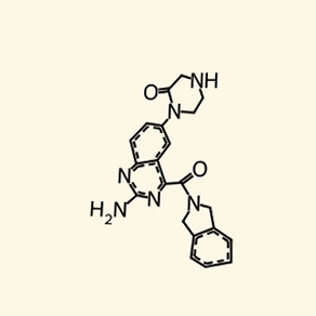 Nc1nc(C(=O)N2Cc3ccccc3C2)c2cc(N3CCNCC3=O)ccc2n1